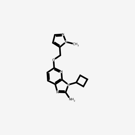 Cn1nccc1COc1ccc2nc(N)n(C3CCC3)c2n1